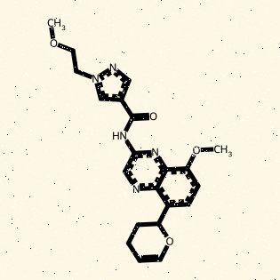 COCCn1cc(C(=O)Nc2cnc3c(C4CCC=CO4)ccc(OC)c3n2)cn1